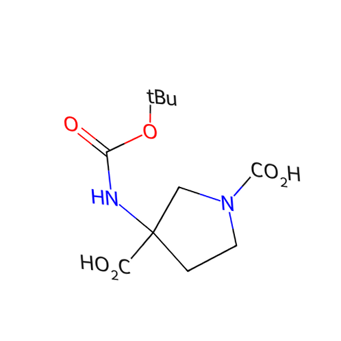 CC(C)(C)OC(=O)NC1(C(=O)O)CCN(C(=O)O)C1